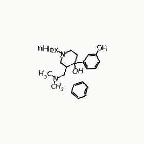 CCCCCCN1CCC(O)(c2cccc(O)c2)C(CN(C)C)C1.c1ccccc1